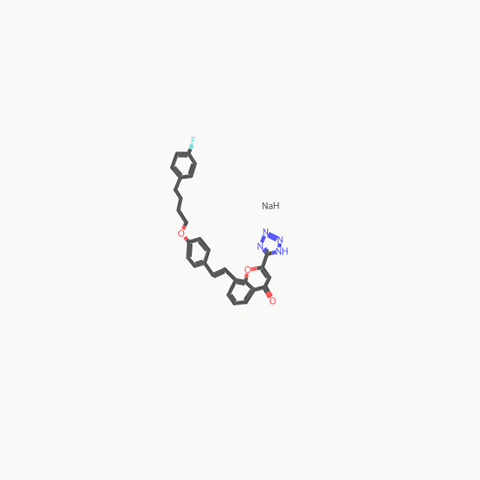 O=c1cc(-c2nnn[nH]2)oc2c(C=Cc3ccc(OCCCCc4ccc(F)cc4)cc3)cccc12.[NaH]